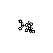 c1ccc(-c2cc(-c3ccccc3)nc(-c3ccc4c(c3)sc3cccc(-c5nc(-c6ccccc6)c6oc7ccccc7c6n5)c34)n2)cc1